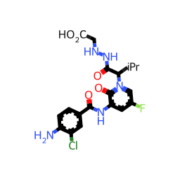 CC(C)C(C(=O)NNCC(=O)O)n1cc(F)cc(NC(=O)c2ccc(N)c(Cl)c2)c1=O